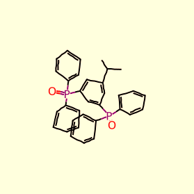 CC(C)c1cc(P(=O)(c2ccccc2)c2ccccc2)cc(P(=O)(c2ccccc2)c2ccccc2)c1